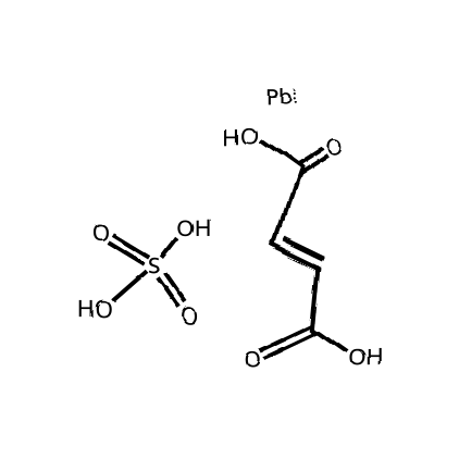 O=C(O)C=CC(=O)O.O=S(=O)(O)O.[Pb]